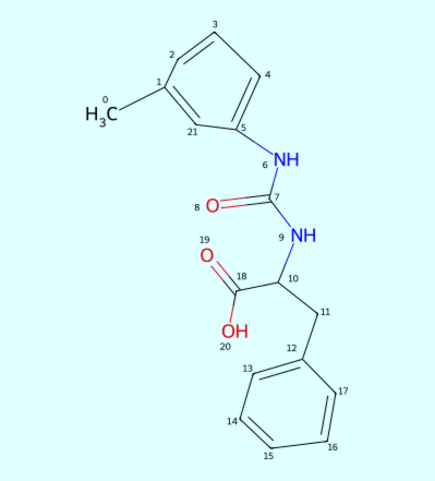 Cc1cccc(NC(=O)NC(Cc2ccccc2)C(=O)O)c1